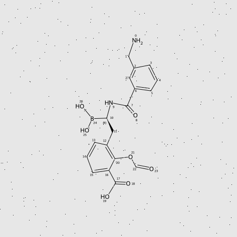 NCc1cccc(C(=O)N[C@@H](Cc2cccc(C(=O)O)c2OC=O)B(O)O)c1